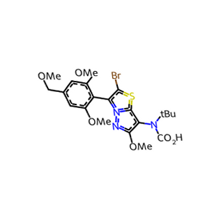 COCc1cc(OC)c(-c2c(Br)sc3c(N(C(=O)O)C(C)(C)C)c(OC)nn23)c(OC)c1